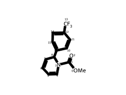 COC(=O)N1C=CC=CC1c1ccc(C(F)(F)F)cc1